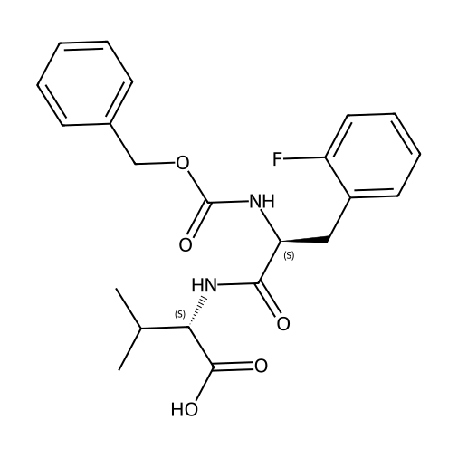 CC(C)[C@H](NC(=O)[C@H](Cc1ccccc1F)NC(=O)OCc1ccccc1)C(=O)O